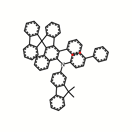 CC1(C)c2ccccc2-c2ccc(N(c3ccc(-c4ccccc4)cc3)c3c(-c4ccccc4)c4c(c5ccccc35)C3(c5ccccc5-c5ccccc53)c3ccccc3-4)cc21